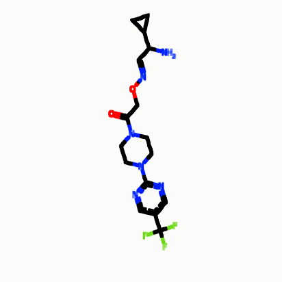 NC(/C=N/OCC(=O)N1CCN(c2ncc(C(F)(F)F)cn2)CC1)C1CC1